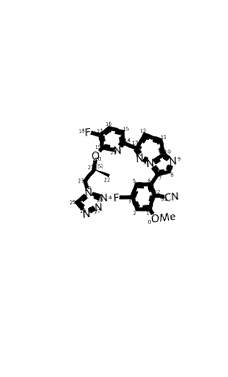 COc1cc(F)cc(-c2cnc3ccc(-c4ccc(F)c(O[C@@H](C)Cn5cnnn5)n4)nn23)c1C#N